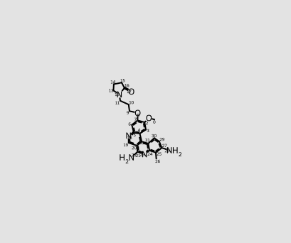 COc1cc2c(cc1OCCCN1CCCC1=O)ncc1c(N)nc3c(C)c(N)ccc3c12